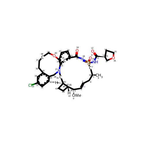 CO[C@H]1/C=C/C[C@H](C)CS(=O)(NC(=O)[C@H]2CCOC2)=NC(=O)c2ccc3c(c2)N(Cc2ccc(Cl)cc2CCCCO3)C[C@@H]2CC[C@H]21